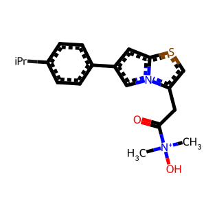 CC(C)c1ccc(-c2cc3scc(CC(=O)[N+](C)(C)O)n3c2)cc1